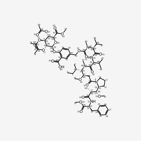 CCC(C)[C@@H]([C@@H](CC(=O)N1CCC[C@H]1[C@H](OC)[C@@H](C)C(=O)N[C@@H](Cc1ccccc1)C(=O)OC)OC)N(C)C(=O)[C@@H](NC(=O)[C@H](C(C)C)N(C)C(=O)OCc1ccc(O[C@@H]2O[C@H](C(=O)OC)[C@@H](OC(C)=O)[C@H](OC(C)=O)[C@H]2OC(C)=O)c(C(=O)O)c1)C(C)C